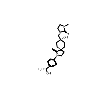 CN1CCN(C[C@]2(O)CC[C@]3(CCN(c4ccc([C@@H](O)C(F)(F)F)cc4)C3=O)CC2)C1=O